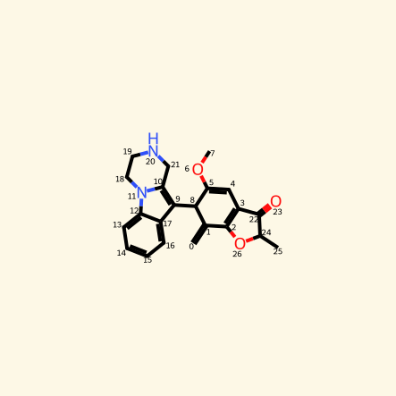 C=C1C2=C(C=C(OC)C1c1c3n(c4ccccc14)CCNC3)C(=O)C(C)O2